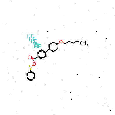 CCCCCOC1CCC(c2ccc(C(=O)OSc3ccccc3)cc2)CC1.F.F.F.F.F